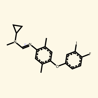 Cc1cc(Oc2ccc(F)c(I)c2)c(C)cc1/N=C/N(C)C1CC1